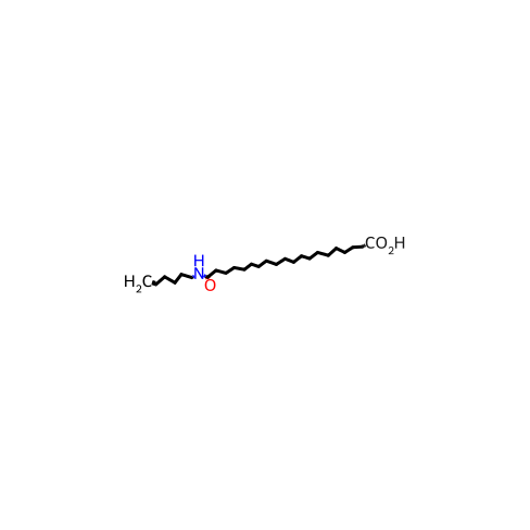 C=CCCCCNC(=O)CCCCCCCCCCCCCCCCCCC(=O)O